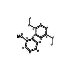 CCc1ccc(CC)cc1.[Mo][c]1ccccc1